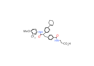 COc1ccc(NC(=O)C(Cc2ccc(C(=O)NCCC(=O)O)cc2)c2ccc(C3=CCCCC3)cc2)cc1C(F)(F)F